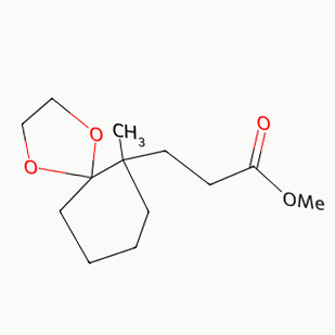 COC(=O)CCC1(C)CCCCC12OCCO2